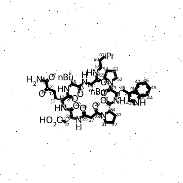 CCCC[C@H](NC(=O)[C@H](CCCC)NC(=O)[C@H](CCC(=O)C(N)=O)NC(=O)[C@@H](CC(=O)O)NC(=O)CC(=O)N1CCC[C@H]1C(=O)N[C@@H](Cc1c[nH]c2ccccc12)C(=O)N1CCCC1)C(=O)NCCC(C)C